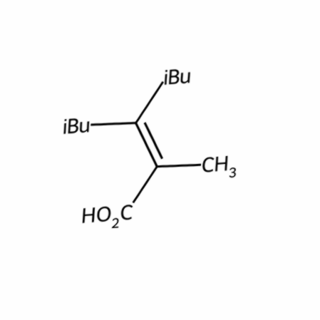 CCC(C)C(=C(C)C(=O)O)C(C)CC